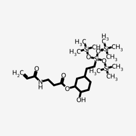 C=CC(=O)NCCC(=O)OC1CC(CC[Si](O[Si](C)(C)C)(O[Si](C)(C)C)O[Si](C)(C)C)CCC1O